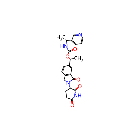 CC(NC(=O)OC(C)c1ccc2c(c1)C(=O)N(C1CCC(=O)NC1=O)C2)c1cccnc1